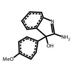 COc1ccc(C2(O)C(N)=Nc3ccccc32)cc1